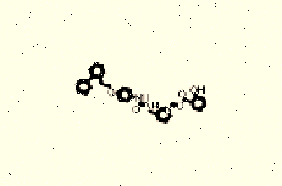 O=C(NCc1ccc[n+](COC(=O)c2ccccc2O)c1)Nc1ccc(OCCc2ccccc2-c2ccccc2)cc1